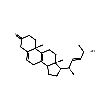 CC(C)[C@@H](C)/C=C/[C@@H](C)[C@H]1CCC2C3=C(CC[C@@]21C)[C@@]1(C)CCC(=O)CC1=CC3